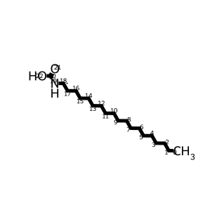 CCCCCCCCCCCCCCCCCC[CH]NC(=O)O